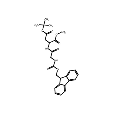 COC(=O)C(CC(=O)OC(C)(C)C)NC(=O)CNC(=O)OCC1c2ccccc2-c2ccccc21